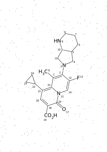 Cc1c(N2CC3CCCNC3C2)c(F)cn2c(=O)c(C(=O)O)cc(C3CC3)c12